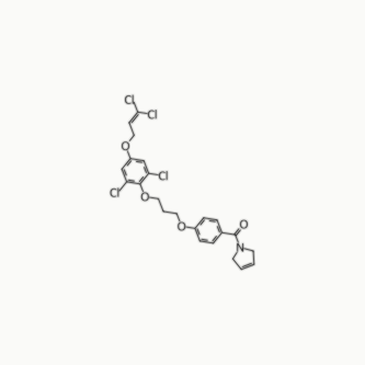 O=C(c1ccc(OCCCOc2c(Cl)cc(OCC=C(Cl)Cl)cc2Cl)cc1)N1CC=CC1